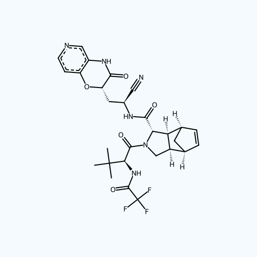 CC(C)(C)[C@H](NC(=O)C(F)(F)F)C(=O)N1C[C@H]2[C@@H]([C@H]1C(=O)N[C@H](C#N)C[C@@H]1Oc3ccncc3NC1=O)[C@H]1C=C[C@@H]2C1